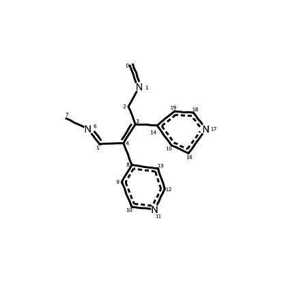 C=NC/C(=C(\C=N\C)c1ccncc1)c1ccncc1